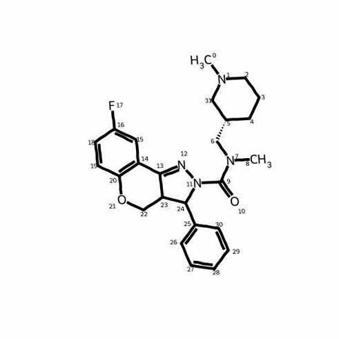 CN1CCC[C@H](CN(C)C(=O)N2N=C3c4cc(F)ccc4OCC3C2c2ccccc2)C1